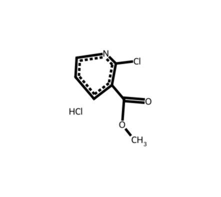 COC(=O)c1cccnc1Cl.Cl